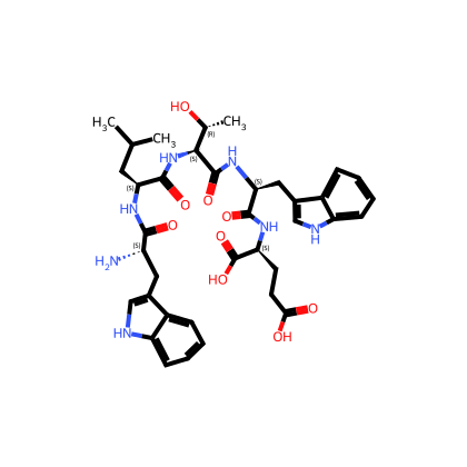 CC(C)C[C@H](NC(=O)[C@@H](N)Cc1c[nH]c2ccccc12)C(=O)N[C@H](C(=O)N[C@@H](Cc1c[nH]c2ccccc12)C(=O)N[C@@H](CCC(=O)O)C(=O)O)[C@@H](C)O